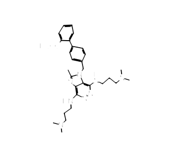 Cc1nc2c(NCCCN(C)C)nnc(NCCCN(C)C)c2n1Cc1ccc(-c2ccccc2C(=O)O)cc1